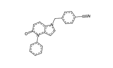 N#Cc1ccc(Cn2ccc3c2ccc(=O)n3-c2ccccc2)cc1